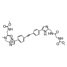 COC(=O)NCC(=O)NCc1ncc(-c2ccc(C#Cc3ccc(-c4cnc(CN(C)C(=O)CNC(=O)OC)[nH]4)cc3)cc2)[nH]1